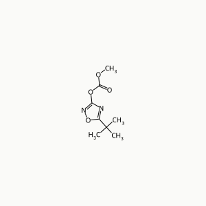 COC(=O)Oc1noc(C(C)(C)C)n1